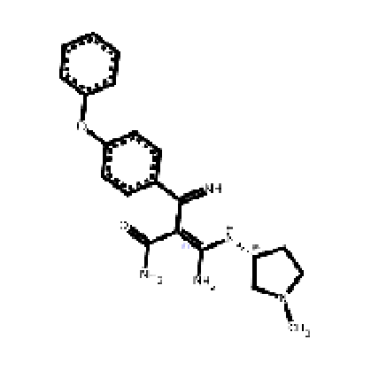 CN1CC[C@@H](N/C(N)=C(\C(=N)c2ccc(Oc3ccccc3)cc2)C(N)=O)C1